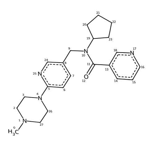 CN1CCN(c2ccc(CN(C(=O)c3cccnc3)C3CCCC3)cn2)CC1